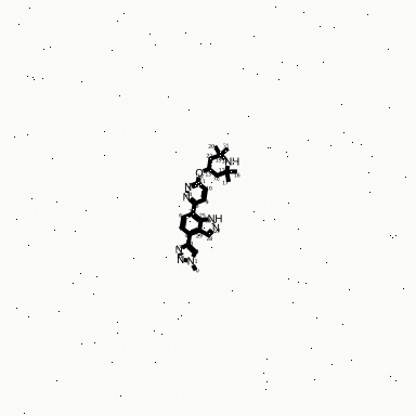 Cn1cc(-c2ccc(-c3ccc(OC4CC(C)(C)NC(C)(C)C4)nn3)c3[nH]ncc23)nn1